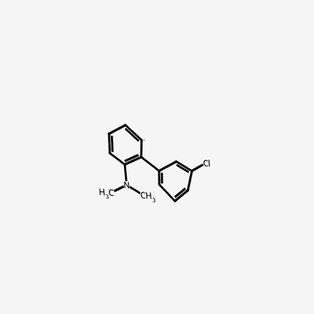 CN(C)c1ccc[c]c1-c1cccc(Cl)c1